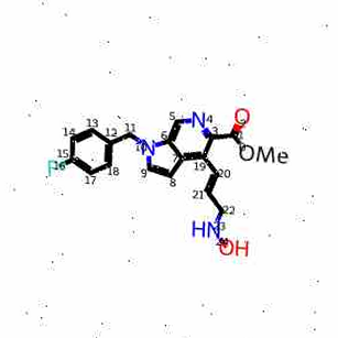 COC(=O)c1ncc2c(ccn2Cc2ccc(F)cc2)c1C=CCNO